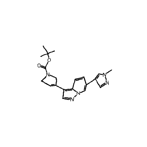 Cn1cc(-c2ccc3c(C4=CCN(C(=O)OC(C)(C)C)C4)cnn3c2)cn1